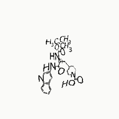 CC(C)(C)OC(=O)N[C@@H](CC1CCN(C(=O)O)CC1)C(=O)Nc1cnc2ccccc2c1